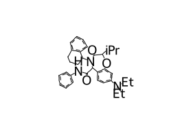 CCN(CC)c1ccc2c(c1)OC(C(C)C)C(=O)N(C1CCCc3ccccc31)C2C(=O)Nc1ccccc1